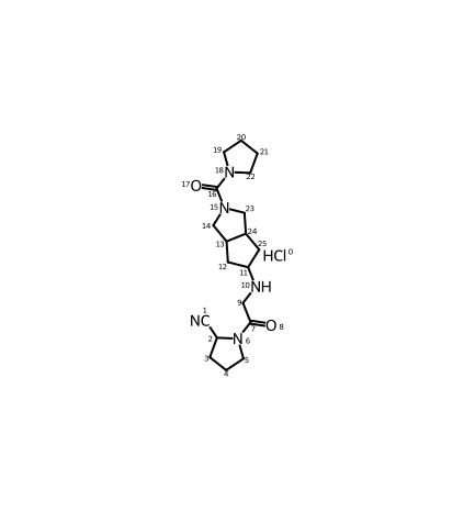 Cl.N#CC1CCCN1C(=O)CNC1CC2CN(C(=O)N3CCCC3)CC2C1